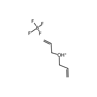 C=CC[OH+]CC=C.F[B-](F)(F)F